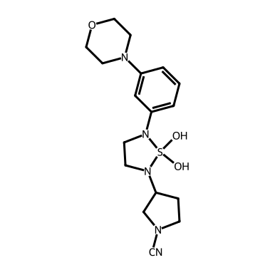 N#CN1CCC(N2CCN(c3cccc(N4CCOCC4)c3)S2(O)O)C1